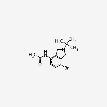 CC(=O)Nc1ccc(Br)c2c1CN(C(C)(C)C)C2